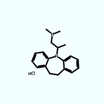 CC(CN(C)C)N1c2ccccc2CCc2ccccc21.Cl